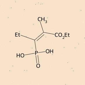 CCOC(=O)C(C)=C(CC)P(=O)(O)O